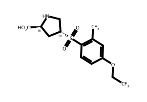 O=C(O)[C@@H]1C[C@@H](S(=O)(=O)c2ccc(OCC(F)(F)F)cc2C(F)(F)F)CN1